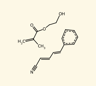 C=C(C)C(=O)OCCO.N#CC=CC=Cc1ccccc1